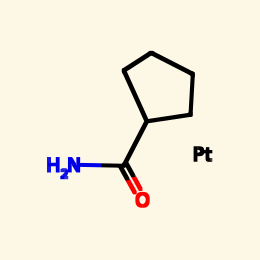 NC(=O)C1CCCC1.[Pt]